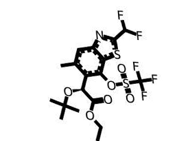 CCOC(=O)[C@@H](OC(C)(C)C)c1c(C)cc2nc(C(F)F)sc2c1OS(=O)(=O)C(F)(F)F